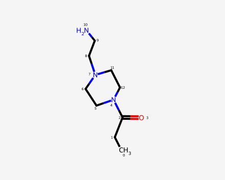 CCC(=O)N1CCN(CCN)CC1